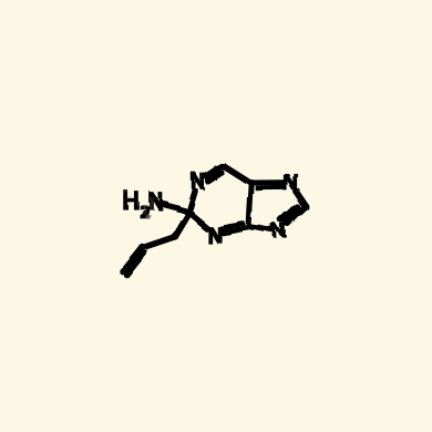 C=CCC1(N)N=CC2=NC=NC2=N1